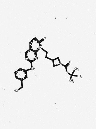 CC(C)(C)OC(=O)N1CC(CCn2c(=O)ccc3cnc(Nc4cccc(CO)c4)nc32)C1